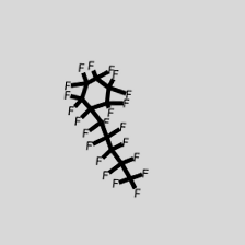 FC(F)(F)C(F)(F)C(F)(F)C(F)(F)C(F)(F)C1(F)C(F)(F)C(F)(F)C(F)(F)C(F)(F)C1(F)F